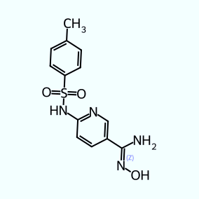 Cc1ccc(S(=O)(=O)Nc2ccc(/C(N)=N/O)cn2)cc1